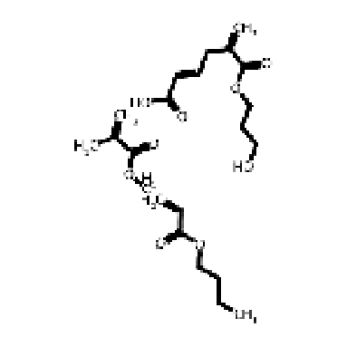 C=C(C)C(=O)OC.C=C(CC=CC(=O)O)C(=O)OCCCO.C=CC(=O)OCCCC